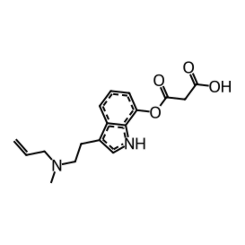 C=CCN(C)CCc1c[nH]c2c(OC(=O)CC(=O)O)cccc12